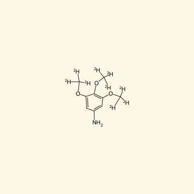 [2H]C([2H])([2H])Oc1cc(N)cc(OC([2H])([2H])[2H])c1OC([2H])([2H])[2H]